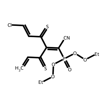 C=CC(=S)C(C(=S)C=CCl)=C(C#N)P(=O)(OOCC)OOCC